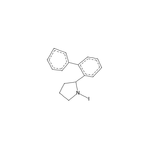 IN1CCCC1c1ccccc1-c1ccccc1